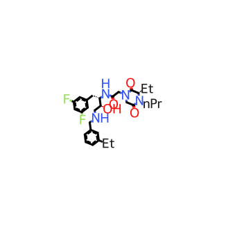 CCCN1C(=O)CN(CC(=O)N[C@@H](Cc2cc(F)cc(F)c2)[C@H](O)CNCc2cccc(CC)c2)C(=O)[C@@H]1CC